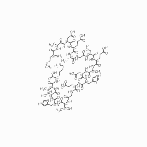 CSCC[C@H](N)C(=O)N[C@@H](C)C(=O)N[C@@H](CC(=O)O)C(=O)N[C@@H](CCC(=O)O)C(=O)N[C@@H](C)C(=O)NCC(=O)N[C@@H](CO)C(=O)N[C@@H](CCC(=O)O)C(=O)N[C@@H](C)C(=O)N[C@@H](CC(=O)O)C(=O)N[C@@H](Cc1c[nH]cn1)C(=O)N[C@@H](CCC(=O)O)C(=O)NCC(=O)N[C@H](C(=O)N[C@@H](Cc1c[nH]cn1)C(=O)N[C@@H](CO)C(=O)N[C@H](C(=O)N[C@@H](CCCCN)C(=O)O)[C@@H](C)O)[C@@H](C)O